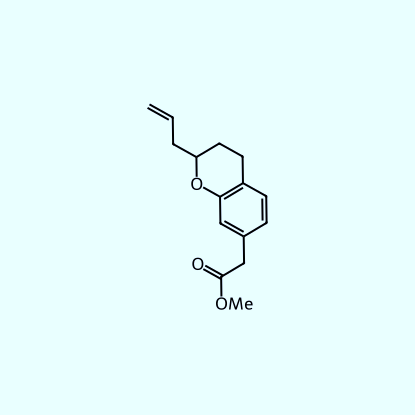 C=CCC1CCc2ccc(CC(=O)OC)cc2O1